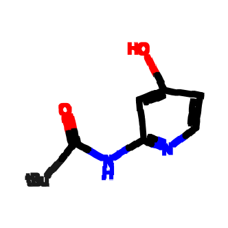 CC(C)(C)C(=O)Nc1cc(O)ccn1